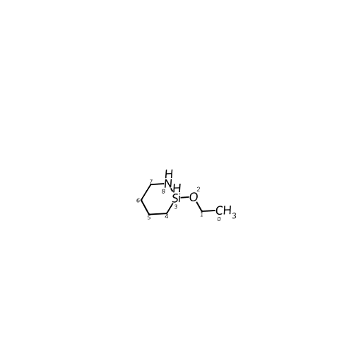 CCO[SiH]1CCCCN1